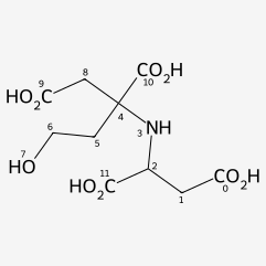 O=C(O)CC(NC(CCO)(CC(=O)O)C(=O)O)C(=O)O